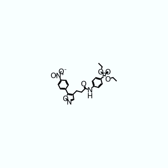 CCOP(=O)(OCC)c1ccc(NC(=O)CCc2cnoc2-c2ccc([N+](=O)[O-])cc2)cc1